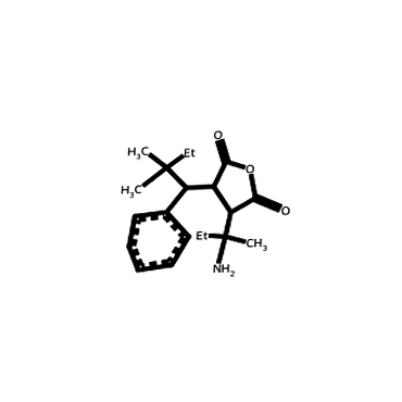 CCC(C)(C)C(c1ccccc1)C1C(=O)OC(=O)C1C(C)(N)CC